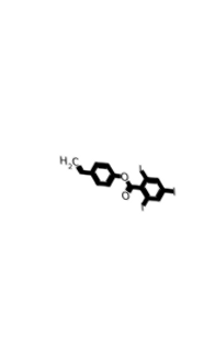 C=Cc1ccc(OC(=O)c2c(I)cc(I)cc2I)cc1